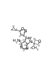 CC1(n2nc(-c3cc(C4CC4)on3)c3c(N)ncnc32)COC1